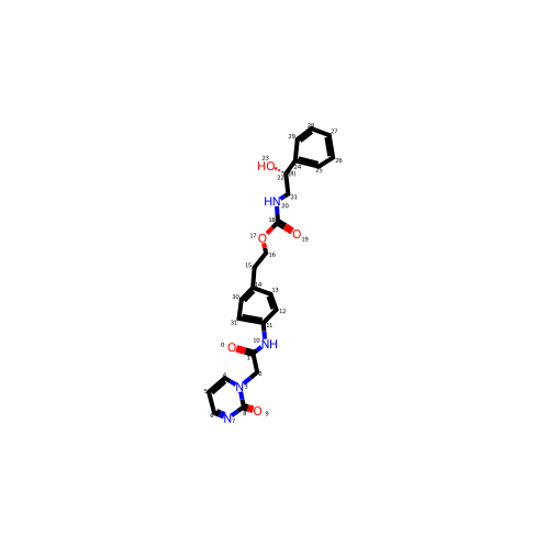 O=C(Cn1cccnc1=O)Nc1ccc(CCOC(=O)NC[C@H](O)c2ccccc2)cc1